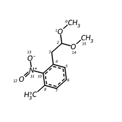 COC(Cc1cccc(C)c1[N+](=O)[O-])OC